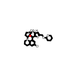 O=C(O)N1CCC(N2CCCc3cc(Cl)cc(-c4c(F)cnc5cc(COC6CCCCO6)sc45)c32)C1